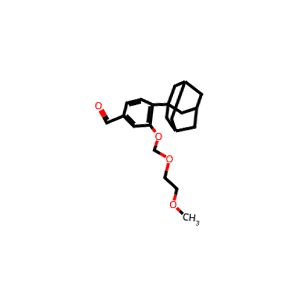 COCCOCOc1cc(C=O)ccc1C12CC3CC(CC(C3)C1)C2